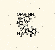 CO[C@H]1C[C@H](c2c(NC(=O)c3nc(-c4c(F)cccc4F)sc3N)cnn2C)OCC[C@@H]1N